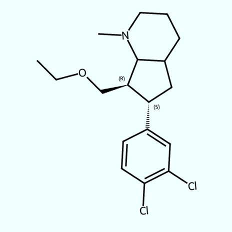 CCOC[C@H]1C2C(CCCN2C)C[C@@H]1c1ccc(Cl)c(Cl)c1